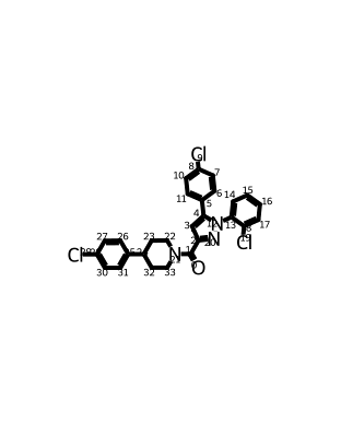 O=C(c1[c]c(-c2ccc(Cl)cc2)n(-c2ccccc2Cl)n1)N1CCC(c2ccc(Cl)cc2)CC1